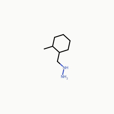 CC1CCCCC1CNN